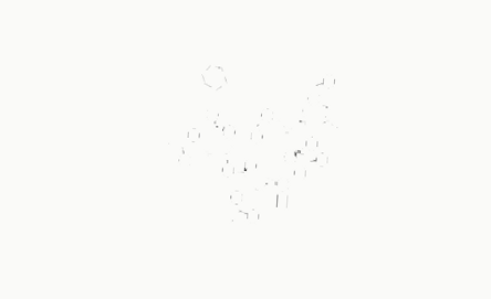 CC[C@@H](OC(C)=O)[C@@H](C)C1O[C@@](OCC2O[C@@H](O[C@@H]3C(COC(=O)C(C)(C)C)O[C@@H](OCc4ccccc4)C(OC(=O)C(C)(C)C)[C@H]3C)C(OC(=O)C(C)(C)C)[C@@H](C)[C@H]2O)(C(=O)OC)C[C@@H](C)[C@H]1C